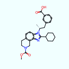 COC(=O)N1CCc2ccc3c(nc(C4CCCCC4)n3[C@H](C)Cc3cccc(C(=O)O)c3)c2C1